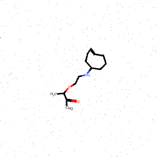 CC(OCCNC1CC/C=C/CCC1)C(=O)C=O